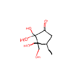 CC1CC(=O)C(O)(O)C1(O)O